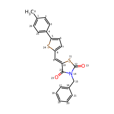 Cc1ccc(-c2ccc(/C=C3\SC(=O)N(Cc4ccccc4)C3=O)s2)cc1